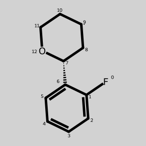 Fc1ccccc1[C@H]1C[CH]CCO1